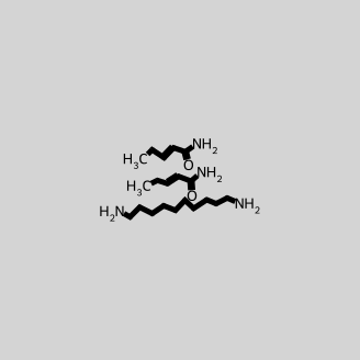 CCC=CC(N)=O.CCC=CC(N)=O.NCCCCCCCCCCN